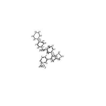 O=[N+]([O-])c1cccc(-c2nc3n(c2-c2ccnc(Nc4ccc(C5CCCCC5)cc4)n2)CCS3)c1